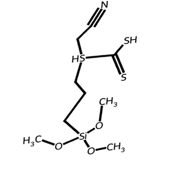 CO[Si](CCC[SH](CC#N)C(=S)S)(OC)OC